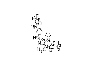 CN1C(=O)C(C)(C)CN(C2CCCC2)c2nc(Nc3cccc(NC(=O)CC(F)(F)F)c3)ncc21